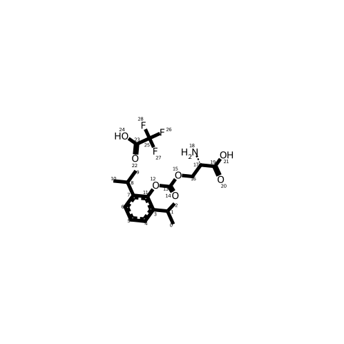 CC(C)c1cccc(C(C)C)c1OC(=O)OC[C@H](N)C(=O)O.O=C(O)C(F)(F)F